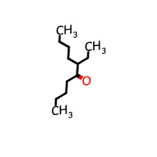 CCCCC(=O)C(CC)CCCC